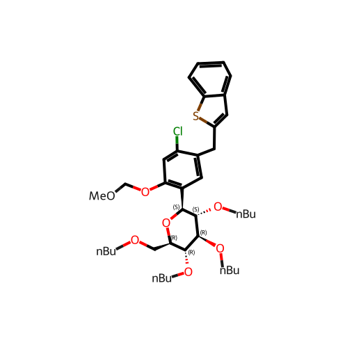 CCCCOC[C@H]1O[C@@H](c2cc(Cc3cc4ccccc4s3)c(Cl)cc2OCOC)[C@H](OCCCC)[C@@H](OCCCC)[C@@H]1OCCCC